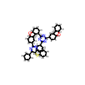 c1ccc(-c2nc(-c3ccc4oc5ccccc5c4c3)nc(-c3cccc4oc5ccc(-c6nc(-c7ccccc7)c7sc8ccccc8c7n6)cc5c34)n2)cc1